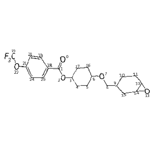 O=C(OC1CCC(OCC2CCC3OC3C2)CC1)c1ccc(OC(F)(F)F)cc1